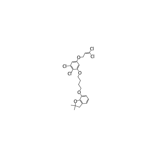 CC1(C)Cc2cccc(OCCCCOc3cc(OCC=C(Cl)Cl)cc(Cl)c3Cl)c2O1